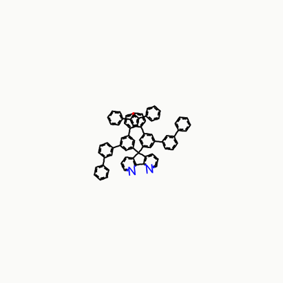 c1ccc(-c2cccc(-c3cc(-c4cccc(-c5ccccc5)c4)cc(C4(c5cc(-c6cccc(-c7ccccc7)c6)cc(-c6cccc(-c7ccccc7)c6)c5)c5cccnc5-c5ncccc54)c3)c2)cc1